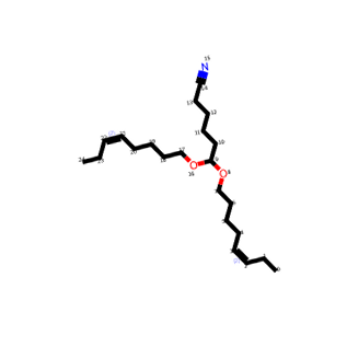 CC/C=C\CCCCOC(CCCCC#N)OCCCC/C=C\CC